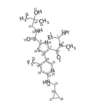 CCCC(CC)N(C)C(=O)c1nc(C(=O)NCC(C)(C)O)sc1-c1cnc(NCC2CC2)cc1C(F)(F)F